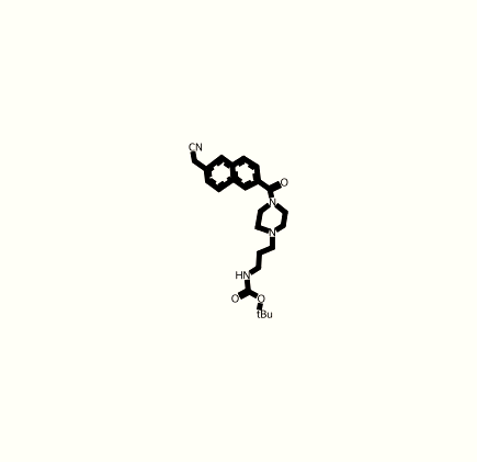 CC(C)(C)OC(=O)NCCCN1CCN(C(=O)c2ccc3cc(CC#N)ccc3c2)CC1